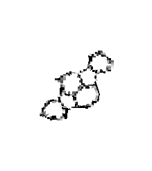 [c]1cc2c3c(ccc4c3c1-c1ccccc1-4)-c1ccccc1-2